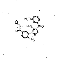 Cc1cccc(C(=O)c2cnn(-c3cc(C(=O)NC4CC4)ccc3C)c2N)c1